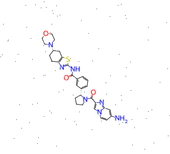 Nc1ccn2cc(C(=O)N3CCC[C@@H]3c3cccc(C(=O)Nc4nc5c(s4)C[C@@H](N4CCOCC4)CC5)c3)nc2c1